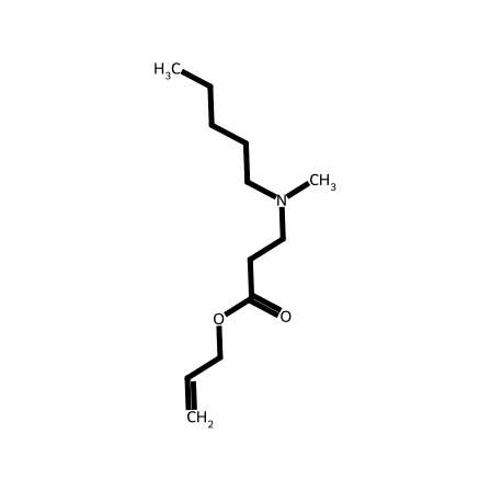 C=CCOC(=O)CCN(C)CCCCC